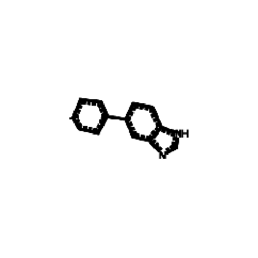 [c]1ccc(-c2ccc3[nH]cnc3c2)cc1